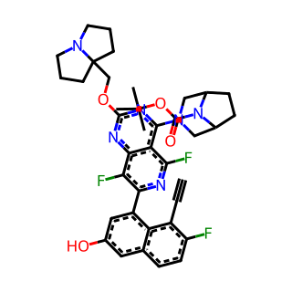 C#Cc1c(F)ccc2cc(O)cc(-c3nc(F)c4c(N5CC6CCC(C5)N6C(=O)OC(C)(C)C)nc(OCC56CCCN5CCC6)nc4c3F)c12